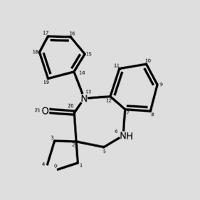 CCC1(CC)CNc2ccccc2N(c2ccccc2)C1=O